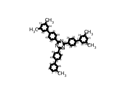 Cc1cccc(-c2ccc(-c3nc(-c4ccc(-c5cc(C)cc(C)c5)cc4)nc(-c4ccc(-c5cc(C)cc(C)c5)cc4)n3)cc2)c1